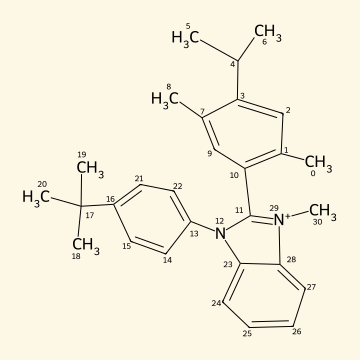 Cc1cc(C(C)C)c(C)cc1-c1n(-c2ccc(C(C)(C)C)cc2)c2ccccc2[n+]1C